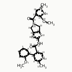 COc1ccccc1-c1cc(C)ncc1C(=O)Nc1nc2c(s1)CN(C(=O)c1cn(C)nc1OC)C2